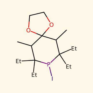 CCC1(CC)C(C)C2(OCCO2)C(C)C(CC)(CC)P1I